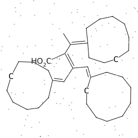 CC(=C1CCCCCCCCC1)C(C(=O)O)=C(C=C1CCCCCCCCC1)C=C1CCCCCCCCC1